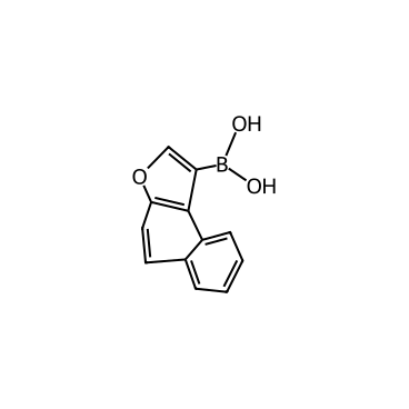 OB(O)c1coc2ccc3ccccc3c12